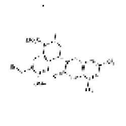 CCOC(=O)N1c2cc(CBr)c(OC)cc2[C@@H](N(Cc2cc(C(F)(F)F)cc(C(F)(F)F)c2)C(=O)OC)CC1C